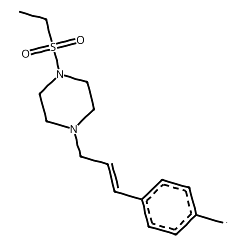 [CH2]c1ccc(C=CCN2CCN(S(=O)(=O)CC)CC2)cc1